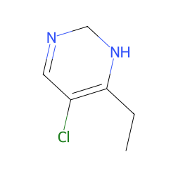 CCC1=C(Cl)C=NCN1